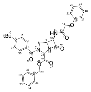 CC(C)(C)c1ccc(C(=O)N2CC3[C@@H](NC(=O)COc4ccccc4)C(=O)N3C2C(=O)OCc2ccccc2)cc1